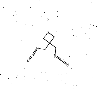 [N-]=[N+]=NCC1(CN=[N+]=[N-])CSC1